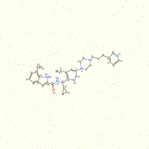 Cc1cc(N2CCN(CCCc3cccnc3)CC2)cnc1C(NC(=O)c1cc2cccc(C)c2[nH]1)C1CC1